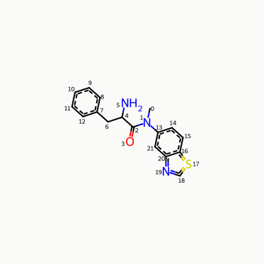 CN(C(=O)C(N)Cc1ccccc1)c1ccc2scnc2c1